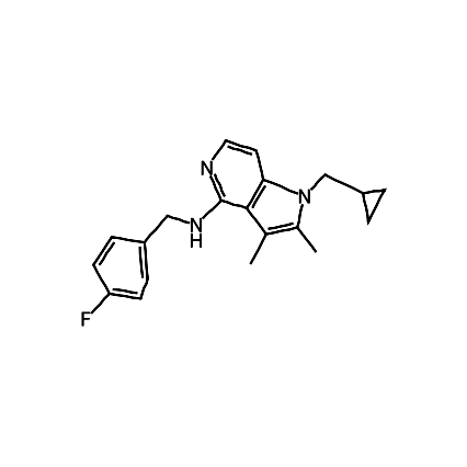 Cc1c(C)n(CC2CC2)c2ccnc(NCc3ccc(F)cc3)c12